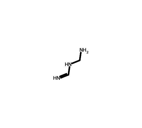 N=CNCN